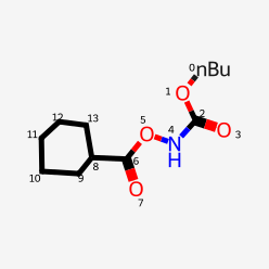 CCCCOC(=O)NOC(=O)C1CCCCC1